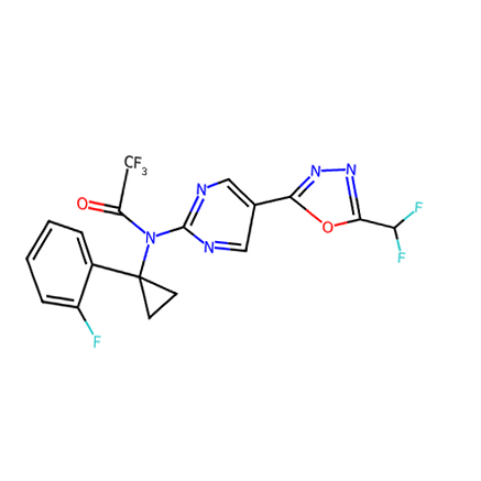 O=C(N(c1ncc(-c2nnc(C(F)F)o2)cn1)C1(c2ccccc2F)CC1)C(F)(F)F